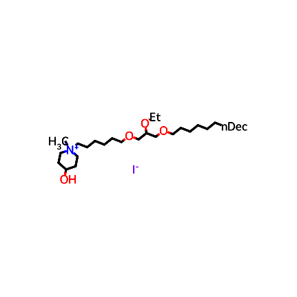 CCCCCCCCCCCCCCCCOCC(COCCCCCC[N+]1(C)CCC(O)CC1)OCC.[I-]